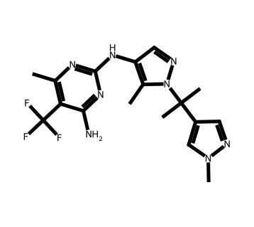 Cc1nc(Nc2cnn(C(C)(C)c3cnn(C)c3)c2C)nc(N)c1C(F)(F)F